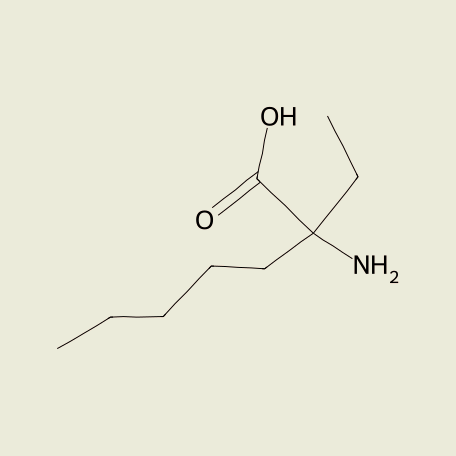 CCCCCC(N)(CC)C(=O)O